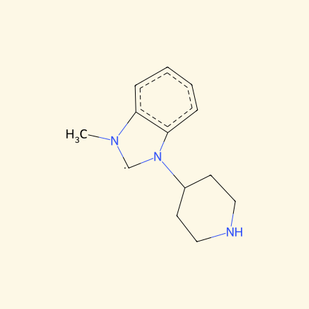 CN1[CH]N(C2CCNCC2)c2ccccc21